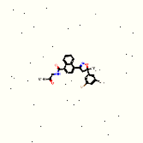 CNC(=O)CNC(=O)c1ccc(C2=NOC(c3cc(Br)cc(C(F)(F)F)c3)(C(F)(F)F)C2)c2ccccc12